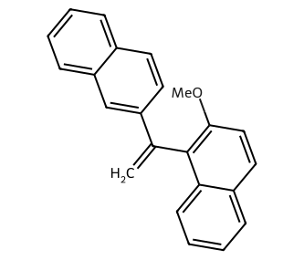 C=C(c1ccc2ccccc2c1)c1c(OC)ccc2ccccc12